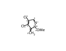 C=C1C(Cl)=C(Cl)C=NN1OC